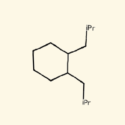 CC(C)CC1CCCCC1CC(C)C